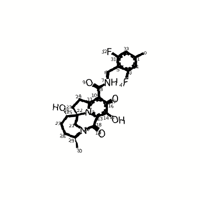 Cc1cc(F)c(CNC(=O)c2c3n4c(c(O)c2=O)C(=O)N2C[C@]4(CC3)[C@@H](O)CC[C@@H]2C)c(F)c1